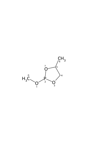 COP1OCC(C)O1